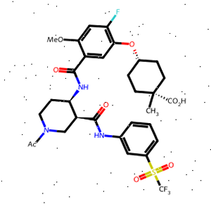 COc1cc(F)c(O[C@H]2CC[C@@](C)(C(=O)O)CC2)cc1C(=O)N[C@@H]1CCN(C(C)=O)C[C@@H]1C(=O)Nc1cccc(S(=O)(=O)C(F)(F)F)c1